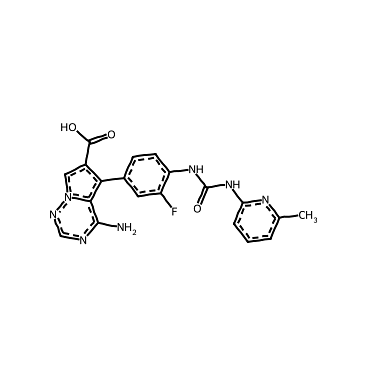 Cc1cccc(NC(=O)Nc2ccc(-c3c(C(=O)O)cn4ncnc(N)c34)cc2F)n1